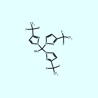 FC(F)(F)C(F)(F)c1ccn([C]([Mn])(n2ccc(C(F)(F)C(F)(F)F)n2)n2ccc(C(F)(F)C(F)(F)F)n2)n1